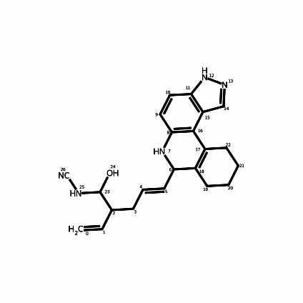 C=CC(C/C=C/C1Nc2ccc3[nH]ncc3c2C2=C1CCCC2)C(O)NC#N